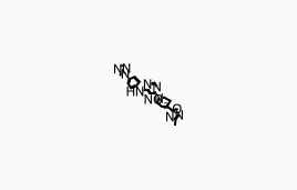 Cc1noc(C2CCN(c3ncnc(Nc4ccc(-n5cncn5)cc4)c3[N+](=O)[O-])CC2)n1